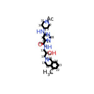 CC(=O)N1CCC(Nc2cc(C(=O)NC[C@H](O)CN3CCc4c(C)cccc4C3)ncn2)CC1